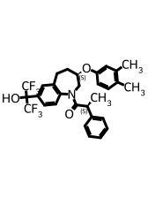 Cc1ccc(O[C@H]2CCc3cc(C(O)(C(F)(F)F)C(F)(F)F)ccc3N(C(=O)[C@@H](C)c3ccccc3)C2)cc1C